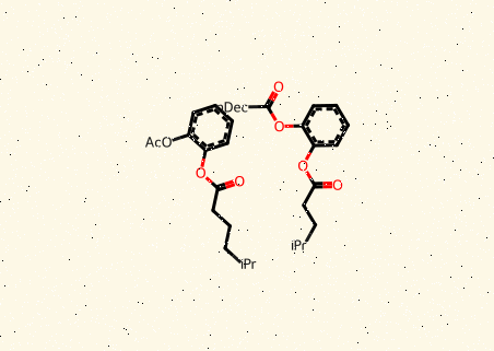 CC(=O)Oc1ccccc1OC(=O)CCCC(C)C.CCCCCCCCCCC(=O)Oc1ccccc1OC(=O)CCC(C)C